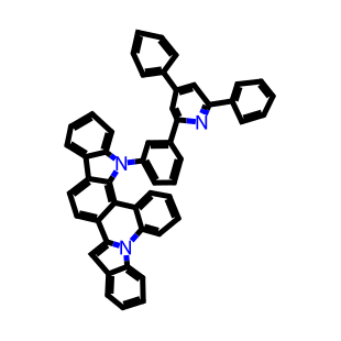 c1ccc(-c2cc(-c3ccccc3)nc(-c3cccc(-n4c5ccccc5c5ccc6c(c7ccccc7n7c8ccccc8cc67)c54)c3)c2)cc1